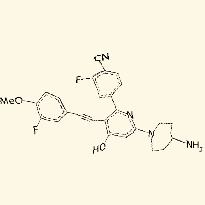 COc1ccc(C#Cc2c(O)cc(N3CCC(N)CC3)nc2-c2ccc(C#N)c(F)c2)cc1F